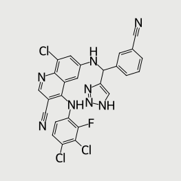 N#Cc1cccc(C(Nc2cc(Cl)c3ncc(C#N)c(Nc4ccc(Cl)c(Cl)c4F)c3c2)c2c[nH]nn2)c1